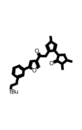 CC1C=C(CC(=O)c2coc(-c3cccc(CCC(C)(C)C)c3)c2)C(C2CC(C)C(C)C2=O)=C1